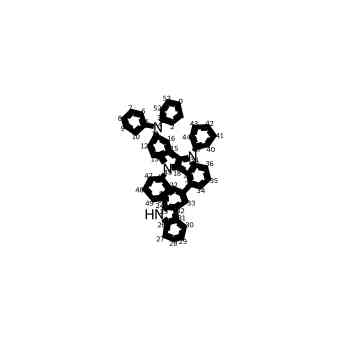 c1ccc(N(c2ccccc2)c2ccc3c(c2)c2c(c4c(-c5ccc6[nH]c7ccccc7c6c5)cccc4n2-c2ccccc2)n3-c2ccccc2)cc1